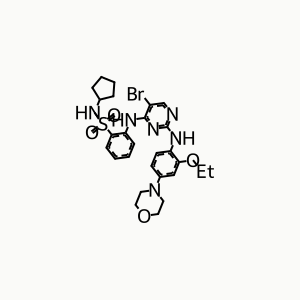 CCOc1cc(N2CCOCC2)ccc1Nc1ncc(Br)c(Nc2ccccc2S(=O)(=O)NC2CCCC2)n1